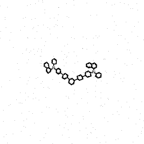 C1=CCC(N(c2ccc(-c3ccc(-c4cccc(-c5ccc(-c6ccc(N(c7ccccc7)c7cccc8ccccc78)cc6)cc5)c4)cc3)cc2)c2cccc3ccccc23)C=C1